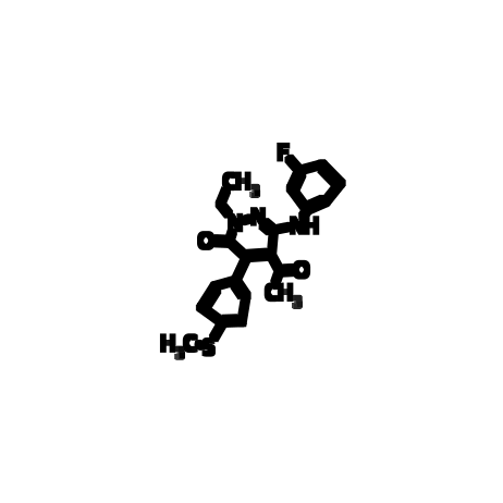 CCn1nc(Nc2cccc(F)c2)c(C(C)=O)c(-c2ccc(SC)cc2)c1=O